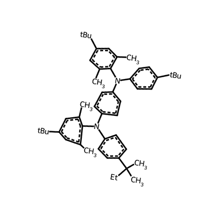 CCC(C)(C)c1ccc(N(c2ccc(N(c3ccc(C(C)(C)C)cc3)c3c(C)cc(C(C)(C)C)cc3C)cc2)c2c(C)cc(C(C)(C)C)cc2C)cc1